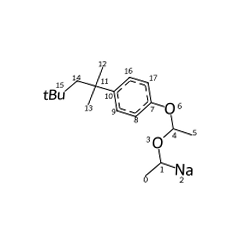 C[CH]([Na])OC(C)Oc1ccc(C(C)(C)CC(C)(C)C)cc1